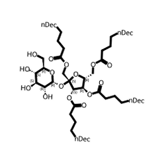 CCCCCCCCCCCCCC(=O)OC[C@H]1O[C@@](COC(=O)CCCCCCCCCCCCC)(O[C@H]2O[C@H](CO)[C@@H](O)[C@H](O)[C@H]2O)[C@@H](OC(=O)CCCCCCCCCCCCC)[C@@H]1OC(=O)CCCCCCCCCCCCC